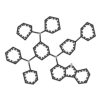 c1ccc(-c2ccc(N(c3cc(N(c4ccccc4)c4ccccc4)cc(N(c4ccccc4)c4ccccc4)c3)c3cccc4c3sc3ccccc34)cc2)cc1